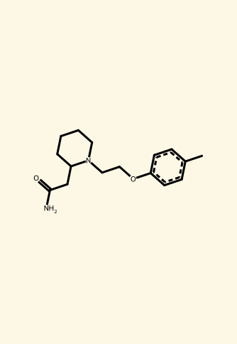 Cc1ccc(OCCN2CCCCC2CC(N)=O)cc1